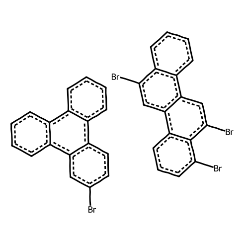 Brc1cc2c3cccc(Br)c3c(Br)cc2c2ccccc12.Brc1ccc2c3ccccc3c3ccccc3c2c1